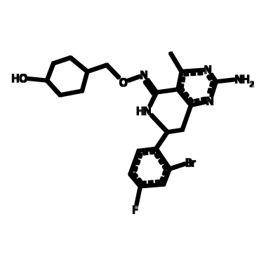 Cc1nc(N)nc2c1C(=NOCC1CCC(O)CC1)NC(c1ccc(F)cc1Br)C2